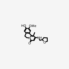 COc1cc2c(cc1O)CCn1c-2c(C)c(NCC2CCCO2)cc1=O